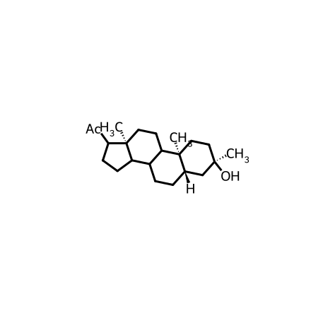 CC(=O)C1CCC2C3CC[C@H]4C[C@](C)(O)CC[C@]4(C)C3CC[C@]12C